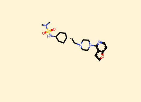 CN(C)S(=O)(=O)N[C@H]1CC[C@H](CCN2CCN(c3nccc4occc34)CC2)CC1